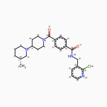 C[C@@H]1CCCN(C2CCN(C(=O)c3ccc(C(=O)NCc4cccnc4Cl)cc3)CC2)C1